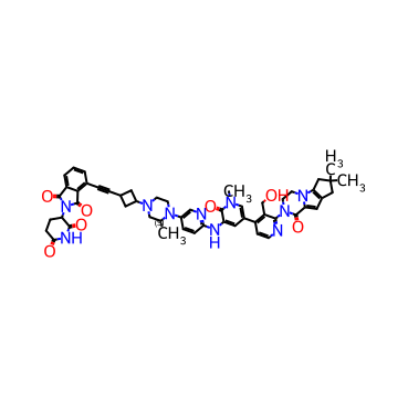 C[C@H]1CN(C2CC(C#Cc3cccc4c3C(=O)N(C3CCC(=O)NC3=O)C4=O)C2)CCN1c1ccc(Nc2cc(-c3ccnc(N4CCn5c(cc6c5CC(C)(C)C6)C4=O)c3CO)cn(C)c2=O)nc1